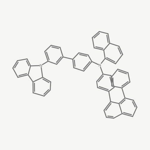 c1ccc(-c2cccc3cccc(-c4ccc(N(c5ccc(-c6cccc(-n7c8ccccc8c8ccccc87)c6)cc5)c5cccc6ccccc56)cc4)c23)cc1